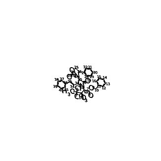 CC(C)(C)C(=O)C(C(=O)OCc1ccccc1)N1C(=O)C(N2C(=O)OC[C@@H]2c2ccccc2)C1C=Cc1ccccc1